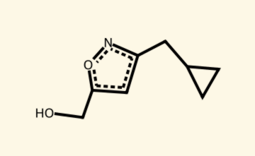 OCc1cc(CC2CC2)no1